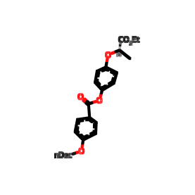 CCCCCCCCCCOc1ccc(C(=O)Oc2ccc(O[C@@H](C)C(=O)OCC)cc2)cc1